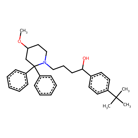 COC1CCN(CCCC(O)c2ccc(C(C)(C)C)cc2)C(c2ccccc2)(c2ccccc2)C1